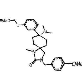 COCOc1cccc([C@]2(N(C)C)CC[C@@]3(CC2)CN(Cc2ccc(OC)cc2)C(=O)N3C)c1